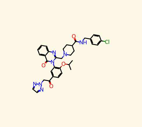 CC(C)Oc1ccc(C(=O)Cn2nccn2)cc1-n1c(CN2CCC(C(=O)NCc3ccc(Cl)cc3)CC2)nc2ccccc2c1=O